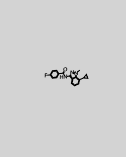 Cn1nc(NC(=O)c2ccc(F)cc2)c2cccc(C3CC3)c21